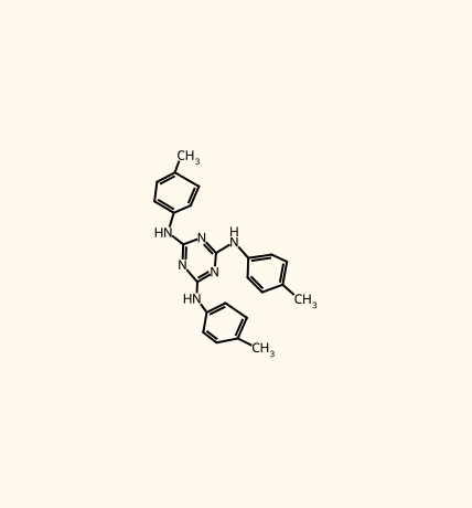 Cc1ccc(Nc2nc(Nc3ccc(C)cc3)nc(Nc3ccc(C)cc3)n2)cc1